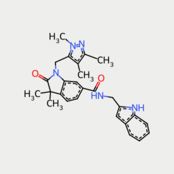 Cc1nn(C)c(CN2C(=O)C(C)(C)c3ccc(C(=O)NCc4cc5ccccc5[nH]4)cc32)c1C